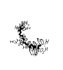 Nc1nc(O)c2c(CCc3cnc(C(=O)N[C@@H](CCC(=O)N[C@@H](CCC(=O)N[C@@H](CCC(=O)O)C(=O)O)C(=O)O)C(=O)O)s3)c[nH]c2n1